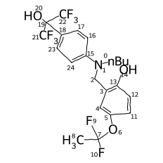 CCCCN(Cc1cc(OC(C)(F)F)ccc1O)c1ccc(C(O)(C(F)(F)F)C(F)(F)F)cc1